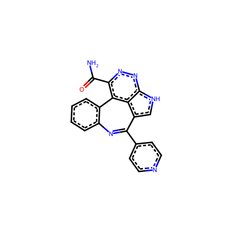 NC(=O)c1nnc2[nH]cc3c2c1-c1ccccc1N=C3c1ccncc1